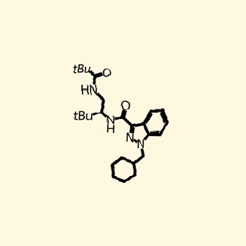 CC(C)(C)C(=O)NC[C@@H](NC(=O)c1nn(CC2CCCCC2)c2ccccc12)C(C)(C)C